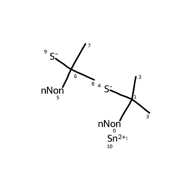 CCCCCCCCCC(C)(C)[S-].CCCCCCCCCC(C)(C)[S-].[Sn+2]